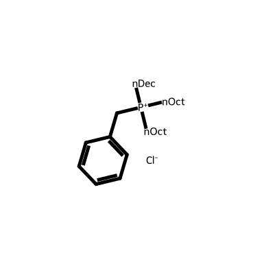 CCCCCCCCCC[P+](CCCCCCCC)(CCCCCCCC)Cc1ccccc1.[Cl-]